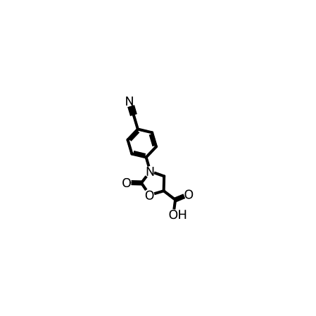 N#Cc1ccc(N2CC(C(=O)O)OC2=O)cc1